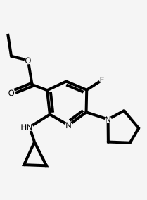 CCOC(=O)c1cc(F)c(N2CCCC2)nc1NC1CC1